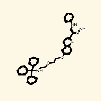 N=N/C(=C\Nc1ccccc1)c1ccc2cc(OCCOCCNC(c3ccccc3)(c3ccccc3)c3ccccc3)ccc2n1